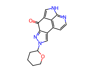 O=C1c2nn(C3CCCCO3)cc2-c2ccnc3[nH]cc1c23